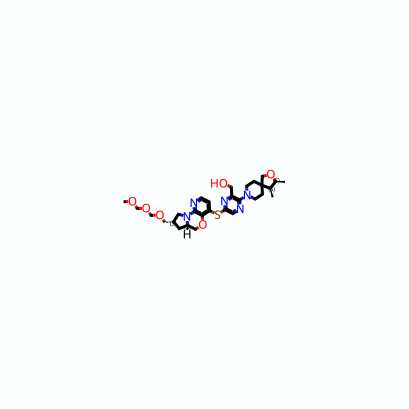 COCOCOC[C@H]1C[C@H]2COc3c(Sc4cnc(N5CCC6(CC5)CO[C@@H](C)[C@H]6C)c(CO)n4)ccnc3N2C1